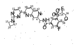 O=C(NCc1cc2nc(-c3ccnc(N4CCC4)n3)ccc2cn1)c1cc(F)c2c(c1)S(=O)(=O)[C@@H](F)COC2